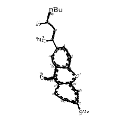 CCCCC(/C=C(\C#N)c1ccc2oc3cc(OC)ccc3c(=O)c2c1)CC